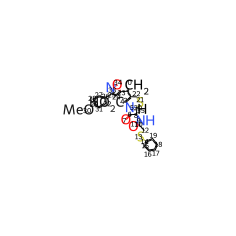 C=C(C1=C(C(=O)O)N2C(=O)[C@@H](NC(=O)CSc3ccccc3)[C@H]2SC1)c1cc(-c2ccc(OC)cc2)no1